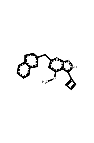 COc1cc(Cc2ccc3ccccc3c2)nc2n[nH]c(C3=CC=C3)c12